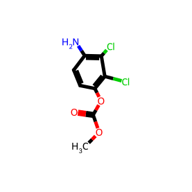 COC(=O)Oc1ccc(N)c(Cl)c1Cl